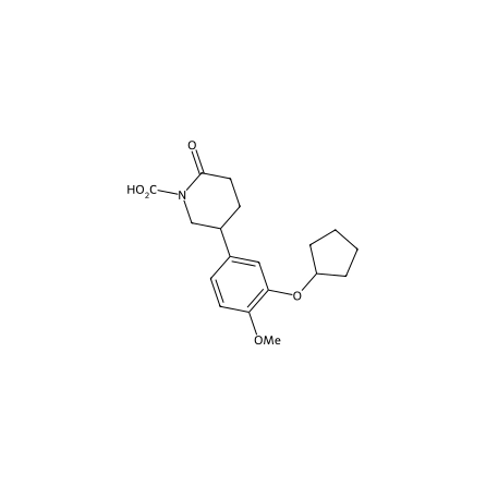 COc1ccc(C2CCC(=O)N(C(=O)O)C2)cc1OC1CCCC1